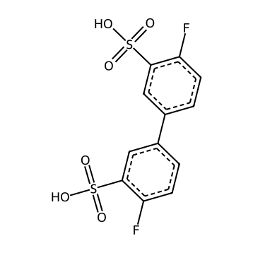 O=S(=O)(O)c1cc(-c2ccc(F)c(S(=O)(=O)O)c2)ccc1F